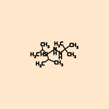 CC(C)[SiH](NNC(C)(C)C)C(C)C